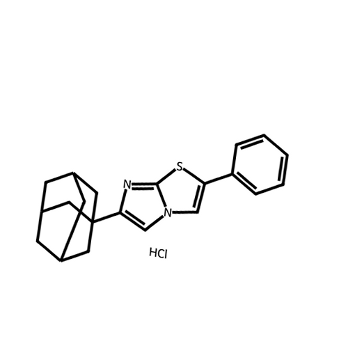 Cl.c1ccc(-c2cn3cc(C45CC6CC(CC(C6)C4)C5)nc3s2)cc1